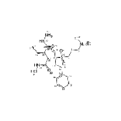 CCN(CC)CCCS(=O)(=O)C(CCc1ccccc1)(CC(C)C)[C@H](C(=O)NO)[C@@H](CC(C)C)C(=O)NN